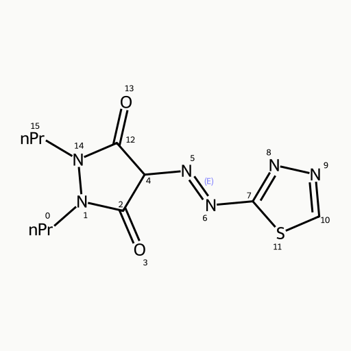 CCCN1C(=O)C(/N=N/c2nncs2)C(=O)N1CCC